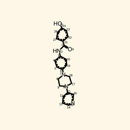 O=C(Nc1ccc(N2CCN(c3cccnc3)CC2)cc1)c1ccc(O)cc1